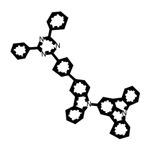 c1ccc(-c2nc(-c3ccccc3)nc(-c3ccc(-c4ccc5c(c4)c4ccccc4n5-c4cc5c6ccccc6n6c7ccccc7c(c4)c56)cc3)n2)cc1